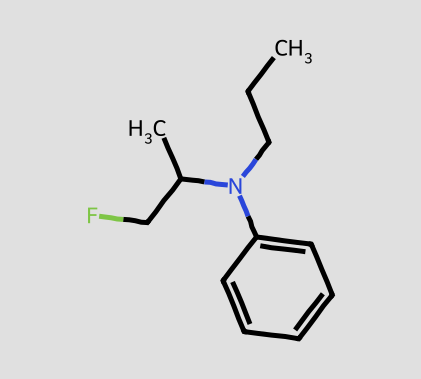 CCCN(c1ccccc1)C(C)CF